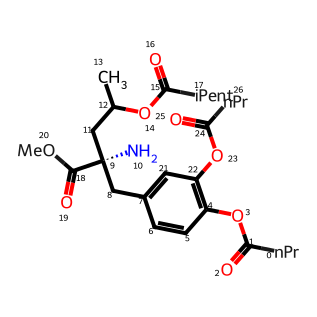 CCCC(=O)Oc1ccc(C[C@](N)(CC(C)OC(=O)C(C)CCC)C(=O)OC)cc1OC(=O)CCC